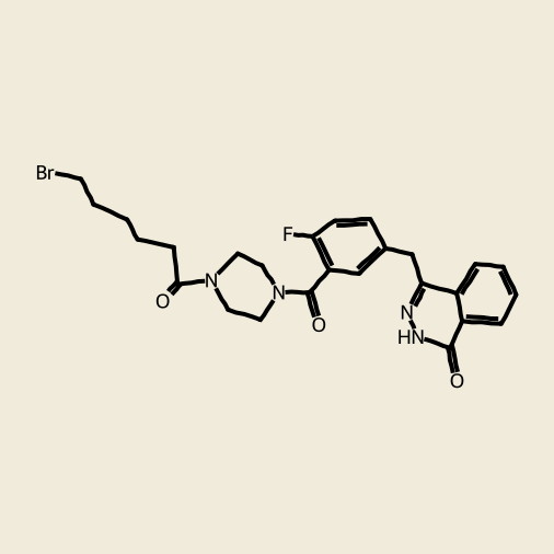 O=C(CCCCCBr)N1CCN(C(=O)c2cc(Cc3n[nH]c(=O)c4ccccc34)ccc2F)CC1